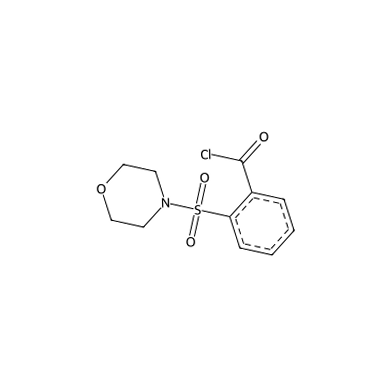 O=C(Cl)c1ccccc1S(=O)(=O)N1CCOCC1